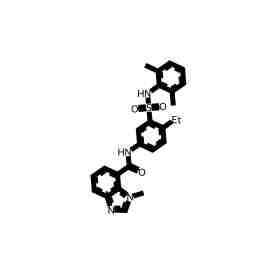 CCc1ccc(NC(=O)c2cccc3ncn(C)c23)cc1S(=O)(=O)Nc1c(C)cccc1C